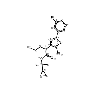 Bc1nc(-c2cncc(F)c2)sc1N(CCF)C(=O)OC(C)(C)C1CC1